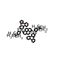 C[Si](C)(C)c1ccc(N(c2cc(-c3ccccc3-c3ccccc3)c(F)cc2F)c2ccc3ccc4c(N(c5ccc([Si](C)(C)C)cc5)c5cc(-c6ccccc6-c6ccccc6)c(F)cc5F)ccc5ccc2c3c54)cc1